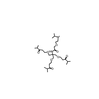 CC(C)C(=O)CCOCC(COCCC(=O)C(C)C)(COCCC(=O)C(C)C)NC(=O)COCCN(C)C(C)C